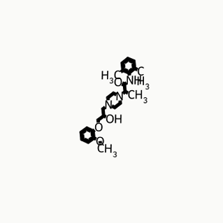 COc1ccccc1OCC(O)CN1CCN(C(C)C(=O)Nc2c(C)cccc2C)CC1